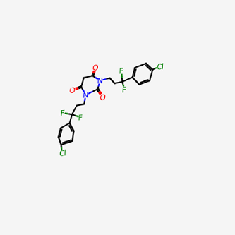 O=C1CC(=O)N(CCC(F)(F)c2ccc(Cl)cc2)C(=O)N1CCC(F)(F)c1ccc(Cl)cc1